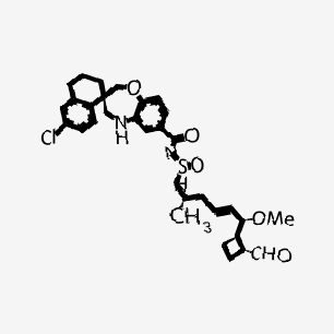 CO[C@@H](/C=C/C[C@H](C)C/[SH](=O)=N/C(=O)c1ccc2c(c1)NC[C@@]1(CCCc3cc(Cl)ccc31)CO2)[C@@H]1CC[C@H]1C=O